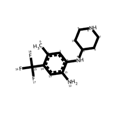 Cc1cc(NC2CCNCC2)c(N)cc1C(F)(F)F